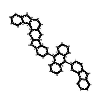 c1ccc2c(c1)oc1ccc(-c3c4ccccc4c(-c4ccc5oc6cc7c(ccc8oc9ccccc9c87)cc6c5c4)c4ccccc34)cc12